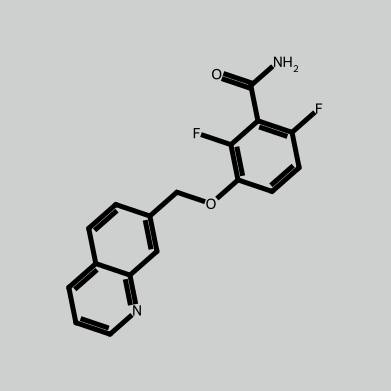 NC(=O)c1c(F)ccc(OCc2ccc3cccnc3c2)c1F